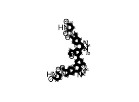 Cc1cc(-c2cc(-c3c(-c4ccc5c(c4)CN(C4CCC(=O)NC4=O)C5=O)ncn3C)cc3c2OCC3)cc(C)c1-c1c(-c2ccc3c(c2)CN(C2CCC(=O)NC2=O)C3=O)ncn1C